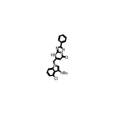 CCCCc1cn(Cc2cc(=O)n3nc(-c4ccccc4)nc3[nH]2)c2cccc(Cl)c12